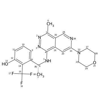 Cc1nnc(N[C@H](C)c2cccc(O)c2C(F)(F)F)c2cc(N3CCOCC3)ncc12